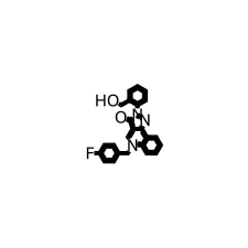 O=c1c2cn(Cc3ccc(F)cc3)c3ccccc3c-2nn1-c1ccccc1CO